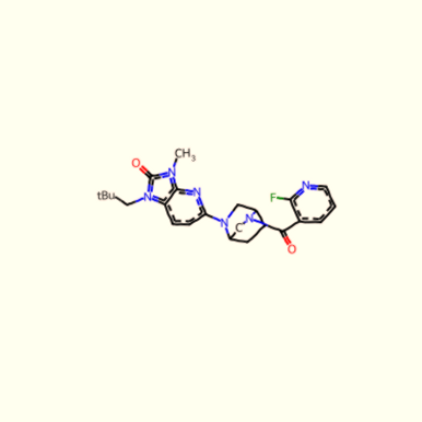 Cn1c(=O)n(CC(C)(C)C)c2ccc(N3CC4CCC3CN4C(=O)c3cccnc3F)nc21